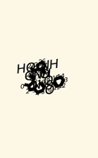 Cc1cc2ccc(S(=O)(=O)c3ccccc3)cn2c1C(=O)NC1(CO)CCNC1=O